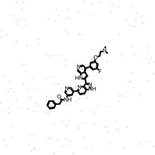 CN(C)CCOc1cc(F)cc(-c2cncc3[nH]c(-c4n[nH]c5ccc(-c6cncc(NC(=O)Cc7ccccc7)c6)nc45)cc23)c1